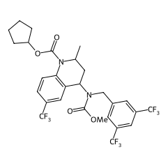 COC(=O)N(Cc1cc(C(F)(F)F)cc(C(F)(F)F)c1)C1CC(C)N(C(=O)OC2CCCC2)c2ccc(C(F)(F)F)cc21